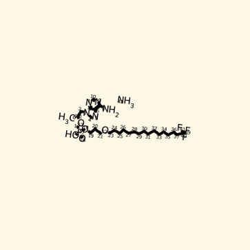 C[C@H](Cn1cnc2c(N)ncnc21)OCP(=O)(O)OCCCOCCCCCCCCCCCCCCCC(F)(F)F.N